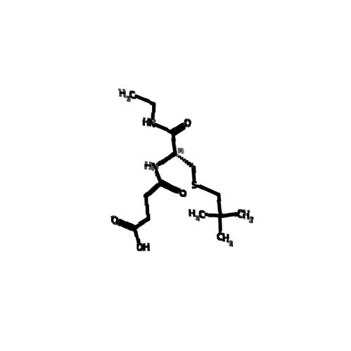 CCNC(=O)[C@H](CSCC(C)(C)C)NC(=O)CCC(=O)O